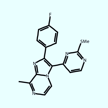 CSc1nccc(-c2c(-c3ccc(F)cc3)nc3c(C)nccn23)n1